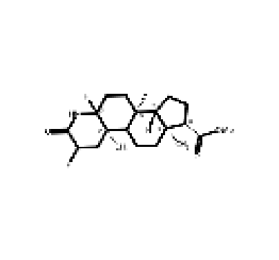 COC(=O)[C@H]1CC[C@H]2[C@@H]3CC[C@H]4NC(=O)C(F)C[C@]4(C)C3CC[C@]12C